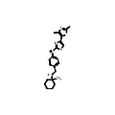 Cc1nc(C)c(-c2csc(Nc3ccc(CNC4(C(F)(F)F)CCCCC4)cn3)n2)s1